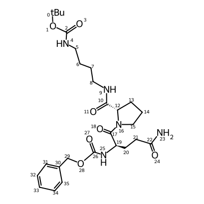 CC(C)(C)OC(=O)NCCCCNC(=O)[C@@H]1CCCN1C(=O)[C@@H](CCC(N)=O)NC(=O)OCc1ccccc1